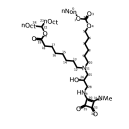 CCCCCCCCCOC(=O)OCCCCCCN(CCCCCCCC(=O)OC(CCCCCCCC)CCCCCCCC)CC(O)CNc1c(NC)c(=O)c1=O